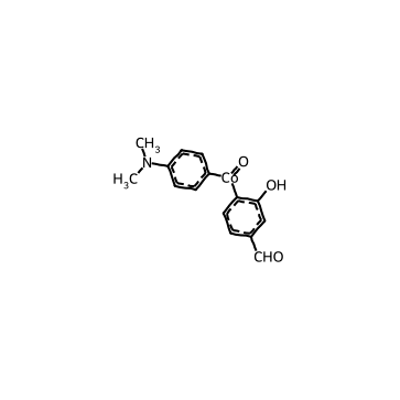 CN(C)c1cc[c]([Co](=[O])[c]2ccc(C=O)cc2O)cc1